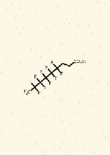 CCOC(=O)CCC(F)(F)C(F)(F)C(F)(F)C(F)(F)C(F)(F)C(F)(F)F